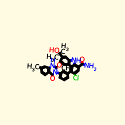 Cc1ccc2c(=O)n(-c3cccc(-c4c(Cl)cc(C(N)=O)c5[nH]c6cc(C(C)(C)O)ccc6c45)c3C)c(=O)[nH]c2c1